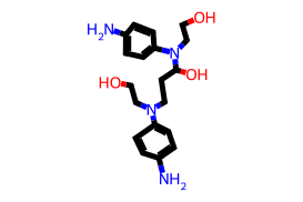 Nc1ccc(N(CCO)CCC(O)N(CCO)c2ccc(N)cc2)cc1